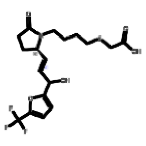 O=C(O)CSCCCCN1C(=O)CC[C@@H]1/C=C/C(O)c1ccc(C(F)(F)F)o1